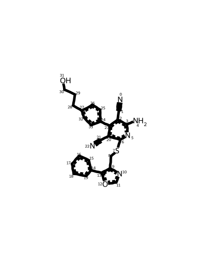 N#Cc1c(N)nc(SCc2ncoc2-c2ccccc2)c(C#N)c1-c1ccc(CCCO)cc1